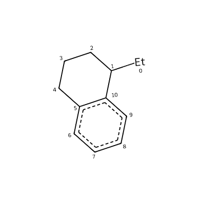 CCC1CCCc2ccccc21